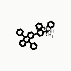 CC1(c2ccc(-c3ccc4c(C5=CC=CCC5)c5ccccc5c(-c5ccccc5)c4c3)cc2)Nc2ccccc2N1c1ccccc1